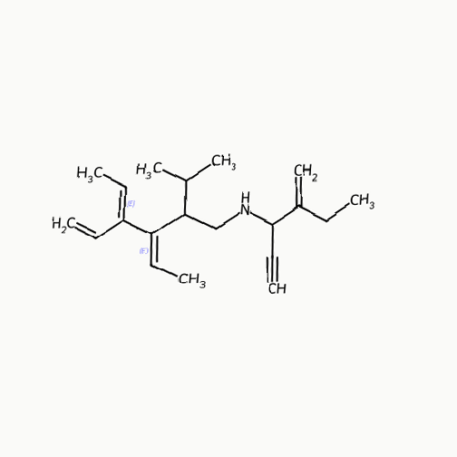 C#CC(NCC(C(=C\C)/C(C=C)=C/C)C(C)C)C(=C)CC